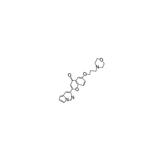 O=c1cc(-c2cc3cccn3cn2)oc2ccc(OCCCN3CCOCC3)cc12